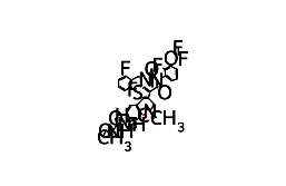 CONC(=O)Nc1ccc(-c2sc3c(c2CN(C)C)c(=O)n(-c2cccc(OC(F)F)c2F)c(=O)n3Cc2c(F)cccc2F)cc1